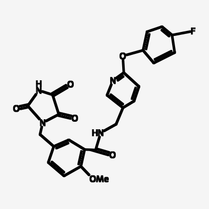 COc1ccc(CN2C(=O)NC(=O)C2=O)cc1C(=O)NCc1ccc(Oc2ccc(F)cc2)nc1